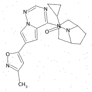 Cc1cc(-c2cc3c(N4CC5CCC(C4)N5C(=O)C4CC4)ncnn3c2)on1